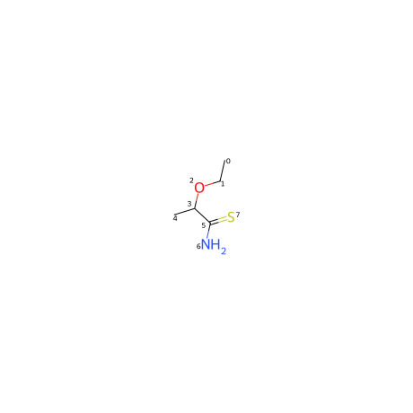 CCOC(C)C(N)=S